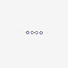 COc1ccc(N2C=CC(=C3C=CN(c4ccc(OC)cc4)C=C3)C=C2)cc1